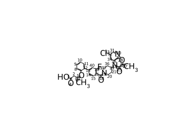 C[C@H](CC(=O)O)Oc1ccccc1-c1ccc(C(=O)N2CCC(N3C(=O)[C@H](C)Oc4ncc(Cl)cc43)CC2)c(F)c1